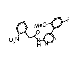 COc1ccc(F)cc1-c1cc(NC(=O)Cc2ccccc2[N+](=O)[O-])ncn1